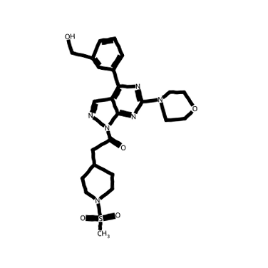 CS(=O)(=O)N1CCC(CC(=O)n2ncc3c(-c4cccc(CO)c4)nc(N4CCOCC4)nc32)CC1